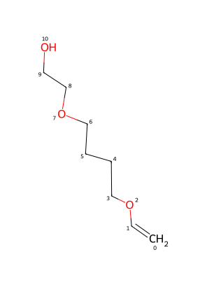 C=COCCCCOCCO